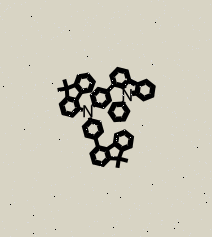 CC1(C)c2ccccc2-c2c(-c3ccc(N(c4ccc(-c5cccc6c7ccccc7n(-c7ccccc7)c56)cc4)c4cccc5c4-c4ccccc4C5(C)C)cc3)cccc21